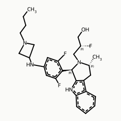 CCCCN1CC(Nc2cc(F)c([C@@H]3c4[nH]c5ccccc5c4C[C@@H](C)N3C[C@@H](F)CO)c(F)c2)C1